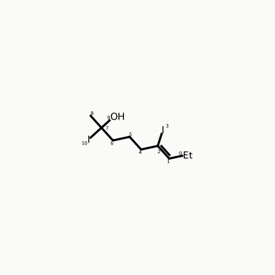 CC/C=C(\I)CCCC(C)(O)I